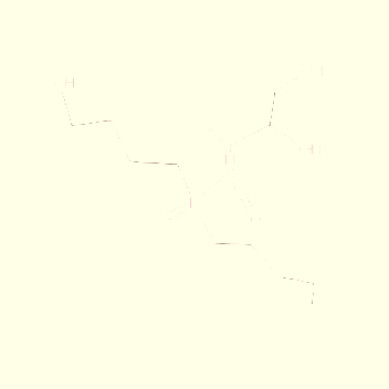 CCCCCP(=O)(CCCCC)[PH](=O)C(O)C(O)CO